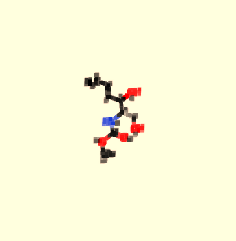 C/C=C/[C@@H](O)[C@H](CO)NC(=O)OC(C)(C)C